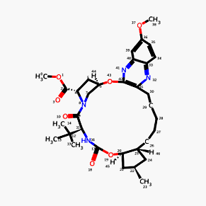 COC(=O)[C@@H]1C[C@@H]2CN1C(=O)[C@H](C(C)(C)C)NC(=O)O[C@@H]1C[C@H](C)C[C@H]1CCCCCc1nc3ccc(OC)cc3nc1O2